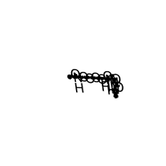 CC(C)[C@H](NC(=O)CCOCCOCCOCCOCCNC(=O)CCC(C)(C)C)C(=O)N[C@@H](C)C(=O)Nc1ccc(C(C)(C)C)cc1